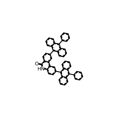 O=c1[nH]c2ccc(-c3c4ccccc4c(-c4ccccc4)c4ccccc34)cc2c2cc(-c3c4ccccc4c(-c4ccccc4)c4ccccc34)ccc12